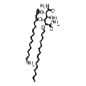 CCCCCCCCCCCCCCCN.CCCCCCCCCCCCCCCO[C@@H](C(N)=O)[C@@H](O)[C@H](O)[C@H](O)C(N)=O